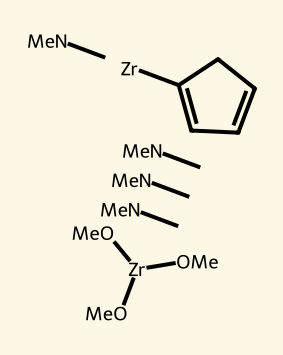 CNC.CNC.CNC.CNC.C[O][Zr]([O]C)[O]C.[Zr][C]1=CC=CC1